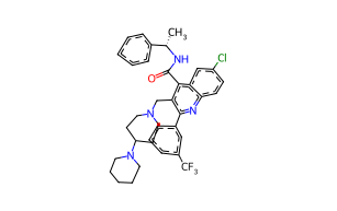 C[C@H](NC(=O)c1c(CN2CCC(N3CCCCC3)CC2)c(-c2cccc(C(F)(F)F)c2)nc2ccc(Cl)cc12)c1ccccc1